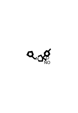 Cc1ccc(C2(C(=O)N=O)CCN(Cc3ccccc3)CC2)cc1